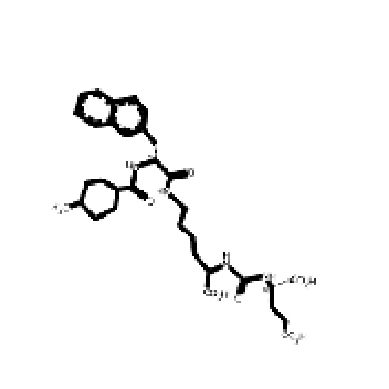 CC1CCC(C(=O)N[C@H](Cc2ccc3ccccc3c2)C(=O)NCCCCC(NC(=O)N[C@@H](CCC(=O)O)C(=O)O)C(=O)O)CC1